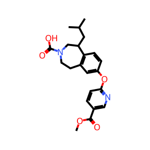 COC(=O)c1ccc(Oc2ccc3c(c2)CCN(C(=O)O)CC3CC(C)C)nc1